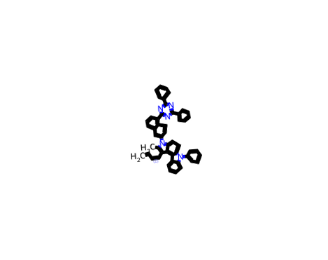 C=C/C=C\c1c(C)n(-c2ccc3c(-c4nc(-c5ccccc5)nc(-c5ccccc5)n4)cccc3c2)c2ccc3c(c4ccccc4n3-c3ccccc3)c12